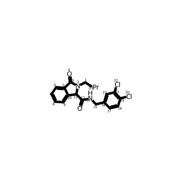 CC(C)CN1C(=O)c2ccccc2C1C(=O)NCc1ccc(Cl)c(Cl)c1